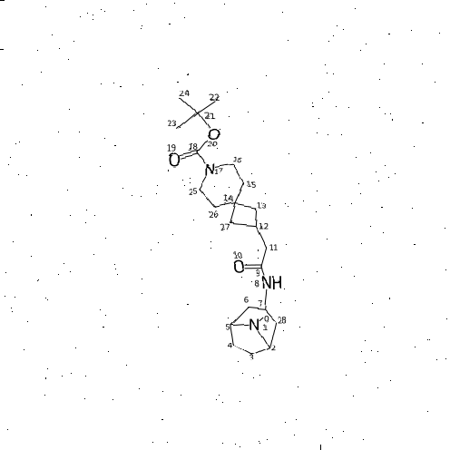 CN1C2CCC1CC(NC(=O)CC1CC3(CCN(C(=O)OC(C)(C)C)CC3)C1)C2